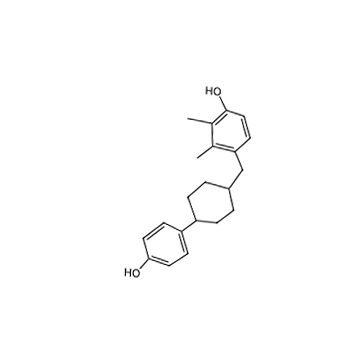 Cc1c(O)ccc(CC2CCC(c3ccc(O)cc3)CC2)c1C